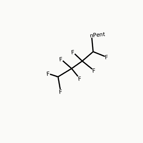 CCCCCC(F)C(F)(F)C(F)(F)[C](F)F